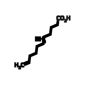 C=CCCCCCCCCC(=O)O.[BiH3]